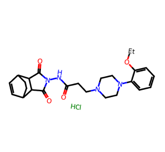 CCOc1ccccc1N1CCN(CCC(=O)NN2C(=O)C3C4C=CC(CC4)C3C2=O)CC1.Cl